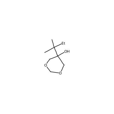 CCC(C)(C)C1(O)COCOC1